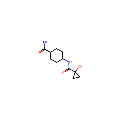 NC(=O)C1CCC(NC(=O)C2(O)CC2)CC1